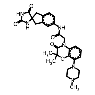 CN1CCN(c2cccc3c2OC(C)(C)C(=O)N3CC(=O)Nc2ccc3c(c2)CC2(C3)NC(=O)NC2=O)CC1